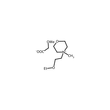 CCOCC[N+]1(C)CCOCC1.COCC(=O)[O-]